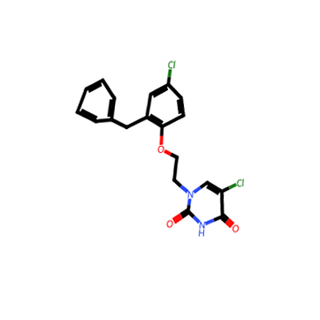 O=c1[nH]c(=O)n(CCOc2ccc(Cl)cc2Cc2ccccc2)cc1Cl